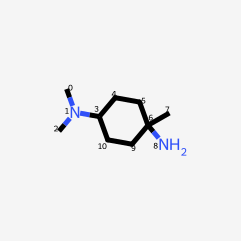 CN(C)C1CCC(C)(N)CC1